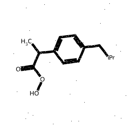 CC(C)Cc1ccc(C(C)C(=O)OO)cc1